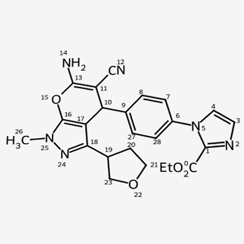 CCOC(=O)c1nccn1-c1ccc(C2C(C#N)=C(N)Oc3c2c(C2CCOC2)nn3C)cc1